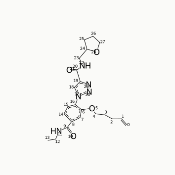 C=CCCCOc1cc(C(=O)NCC)ccc1-n1cc(C(=O)NCC2CCCO2)nn1